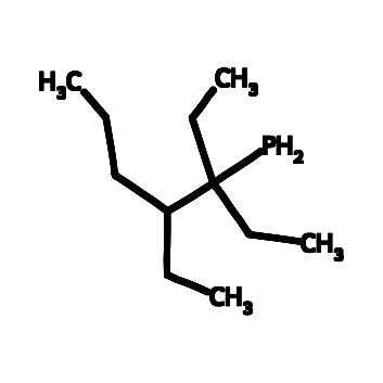 CCCC(CC)C(P)(CC)CC